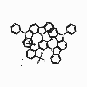 N#Cc1c(-n2c3ccccc3c3ccc4c(c5ccccc5n4-c4ccccc4)c32)cc(-c2c(C(F)(F)F)cccc2C(F)(F)F)cc1-n1c2ccccc2c2ccc3c(c4ccccc4n3-c3ccccc3)c21